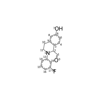 O=CC1c2ccc(O)cc2CCN1c1cccc(F)c1